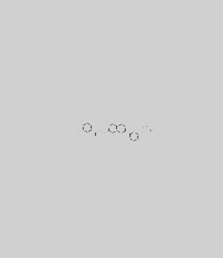 Cc1ccc(C(=O)NCc2cc3nc(-c4cccc(N5C[C@H](O)C(F)(F)C5)n4)ccc3cn2)cc1S(C)(=O)=O